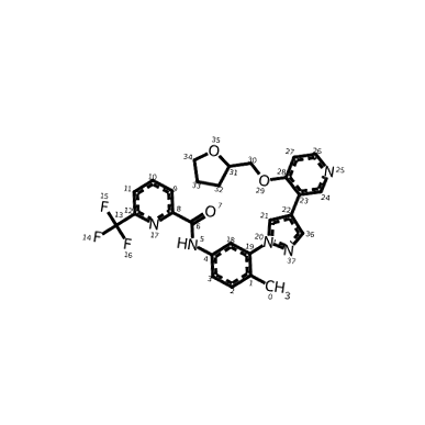 Cc1ccc(NC(=O)c2cccc(C(F)(F)F)n2)cc1-n1cc(-c2cnccc2OCC2CCCO2)cn1